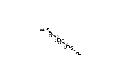 CC=CSCCS/C=C/C(=O)OCOC(=O)CC(=O)OCOC(=O)C=CSC